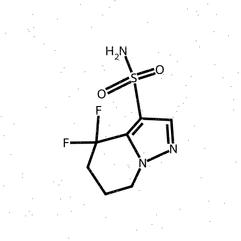 NS(=O)(=O)c1cnn2c1C(F)(F)CCC2